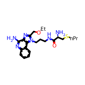 [CH2][CH]CSC[C@H](N)C(=O)NCCCn1c(COCC)nc2c(N)nc3ccccc3c21